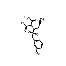 C#CCN(C(C(N)=O)C(=O)CC)S(=O)(=O)Cc1cccc(C(C)(C)C)c1